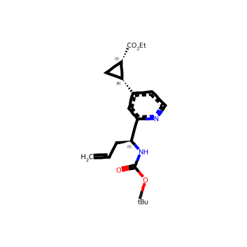 C=CC[C@H](NC(=O)OC(C)(C)C)c1cc([C@@H]2C[C@@H]2C(=O)OCC)ccn1